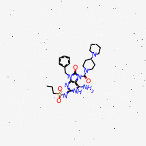 CCCS(=O)(=O)N=c1nc2c(c(N)[nH]1)n(C(=O)N1CCC(N3CCCCC3)CC1)c(=O)n2Cc1ccccc1